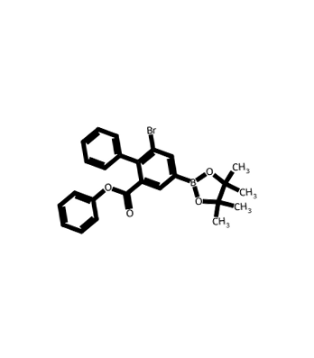 CC1(C)OB(c2cc(Br)c(-c3ccccc3)c(C(=O)Oc3ccccc3)c2)OC1(C)C